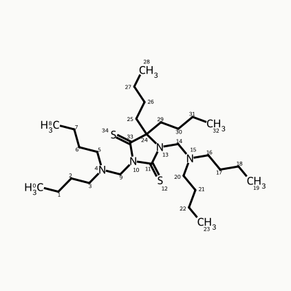 CCCCN(CCCC)CN1C(=S)N(CN(CCCC)CCCC)C(CCCC)(CCCC)C1=S